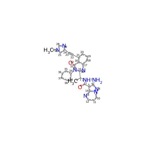 CC(NC(=O)c1c(N)nn2cccnc12)c1nc2cccc(C#Cc3cn(C)cn3)c2c(=O)n1-c1ccccc1